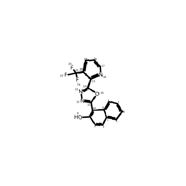 Oc1ccc2ccccc2c1-c1nnc(-c2ncccc2C(F)(F)F)o1